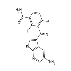 NC(=O)c1ccc(F)c(C(=O)c2c[nH]c3ncc(N)cc23)c1F